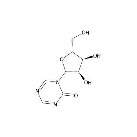 O=c1ncncn1C1O[C@H](CO)[C@@H](O)[C@H]1O